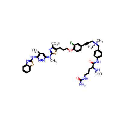 Cc1cc(N(C)c2nc(C(=O)O)c(CCCOc3ccc(C#CC[N+](C)(C)Cc4ccc(NC(=O)C(CCCNC(N)=O)NC=O)cc4)cc3F)s2)nnc1Nc1nc2ccccc2s1